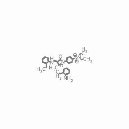 CCc1ccccc1N.CCc1ccccc1N/C=C1/C(=O)N(c2ccc(S(=O)(=O)N(CC)CC)cc2)N=C1C